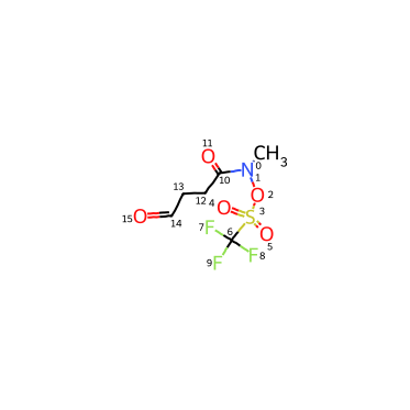 CN(OS(=O)(=O)C(F)(F)F)C(=O)CCC=O